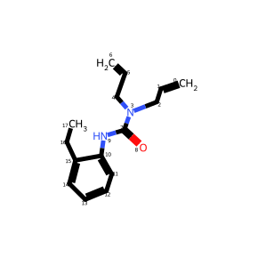 C=CCN(CC=C)C(=O)Nc1ccccc1CC